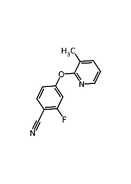 Cc1cccnc1Oc1ccc(C#N)c(F)c1